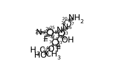 CC(C)(O)COc1ccc(-c2c(O)cc(N3CCC(N)CC3)nc2-c2ccc(C#N)c(F)c2)cc1F